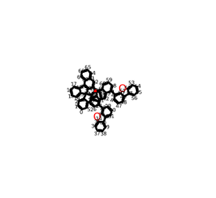 c1ccc2c(c1)-c1ccccc1C21c2ccccc2-c2c1c(-c1c3cccc(-c4cccc5c4oc4ccccc45)c3cc3c(-c4cccc5c4oc4ccccc45)cccc13)cc1ccccc21